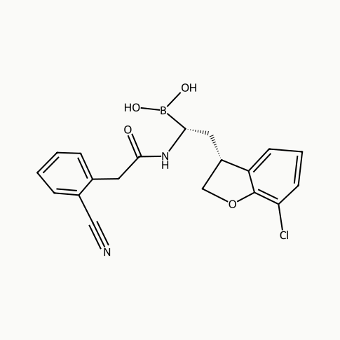 N#Cc1ccccc1CC(=O)N[C@@H](C[C@H]1COc2c(Cl)cccc21)B(O)O